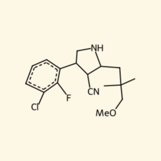 COCC(C)(C)CC1NCC(c2cccc(Cl)c2F)C1C#N